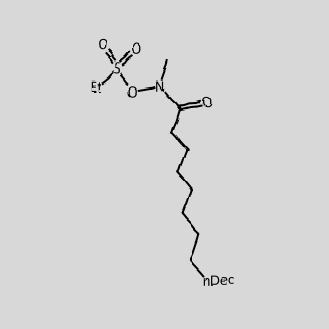 CCCCCCCCCCCCCCCCCC(=O)N(C)OS(=O)(=O)CC